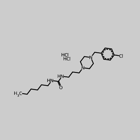 CCCCCCNC(=O)NCCCN1CCN(Cc2ccc(Cl)cc2)CC1.Cl.Cl